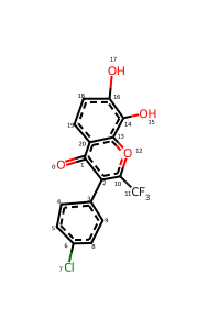 O=c1c(-c2ccc(Cl)cc2)c(C(F)(F)F)oc2c(O)c(O)ccc12